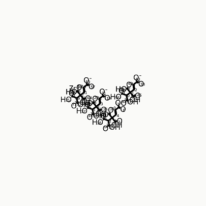 O=C([O-])C=CC(C(=O)O)(C(=O)O)C(C(=O)O)C(=O)O.O=C([O-])C=CC(C(=O)O)(C(=O)O)C(C(=O)O)C(=O)O.O=C([O-])C=CC(C(=O)O)(C(=O)O)C(C(=O)O)C(=O)O.O=C([O-])C=CC(C(=O)O)(C(=O)O)C(C(=O)O)C(=O)O.[Zr+4]